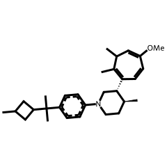 COC1=CC(C)C(C)=C([C@H]2CN(c3ccc(C(C)(C)C4CC(C)C4)cc3)CC[C@@H]2C)C=C1